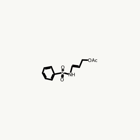 CC(=O)OCC=CNS(=O)(=O)c1ccccc1